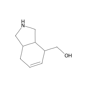 OCC1C=CCC2CNCC12